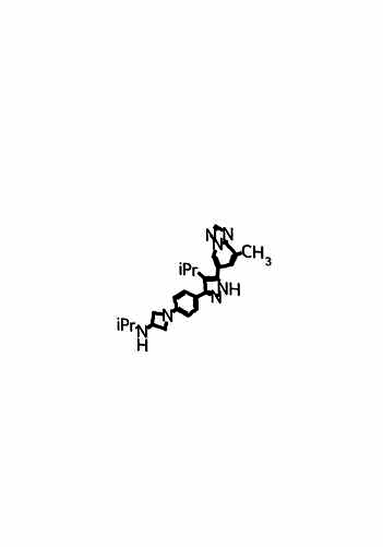 Cc1cc(-c2[nH]nc(-c3ccc(N4CC(NC(C)C)C4)cc3)c2C(C)C)cn2ncnc12